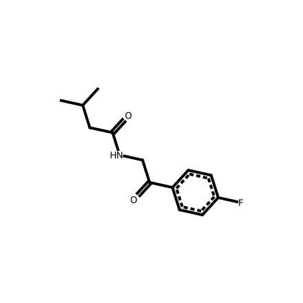 CC(C)CC(=O)NCC(=O)c1ccc(F)cc1